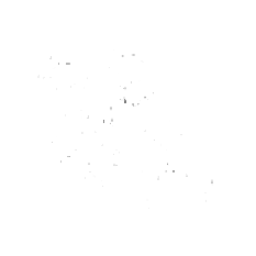 CC1(C)c2ccc(-c3cccc(N(c4ccccc4)c4cccc(-c5cccc6c5oc5ccccc56)c4)c3)cc2-c2ccc(-c3ccccc3)cc21